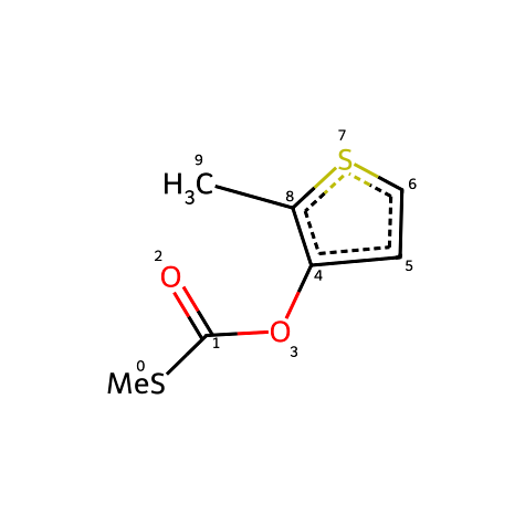 CSC(=O)Oc1ccsc1C